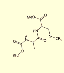 COC(=O)C(CSC(F)(F)F)NC(=O)C(C)NC(=O)OC(C)(C)C